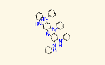 c1ccc(Nc2cc3nc4cc(Nc5ccccc5)c(Nc5ccccc5)cc4[n+](-c4ccccc4)c3cc2Nc2ccccc2)cc1